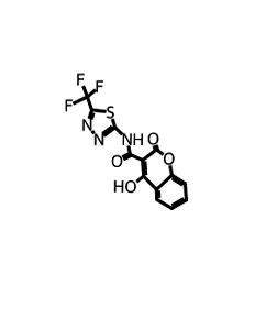 O=C(Nc1nnc(C(F)(F)F)s1)c1c(O)c2ccccc2oc1=O